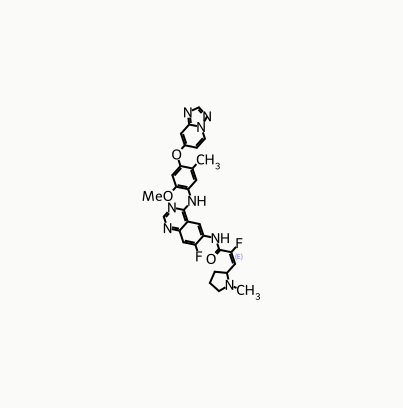 COc1cc(Oc2ccn3ncnc3c2)c(C)cc1Nc1ncnc2cc(F)c(NC(=O)/C(F)=C\C3CCCN3C)cc12